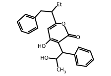 CCC(Cc1ccccc1)c1cc(O)c(C(c2ccccc2)C(C)O)c(=O)o1